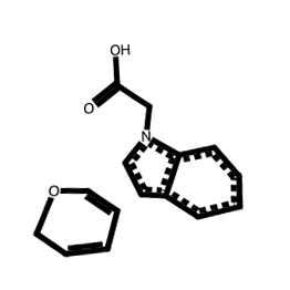 C1=CCOC=C1.O=C(O)Cn1ccc2ccccc21